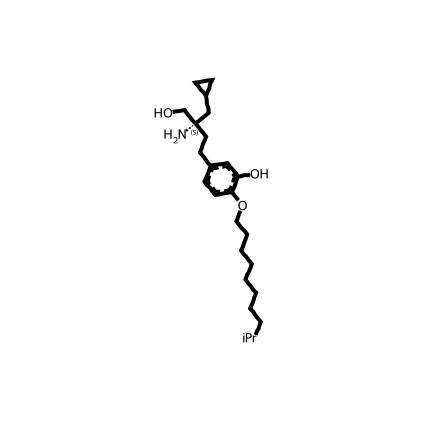 CC(C)CCCCCCCCOc1ccc(CC[C@@](N)(CO)CC2CC2)cc1O